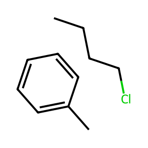 CCCCCl.Cc1ccccc1